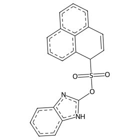 O=S(=O)(Oc1nc2ccccc2[nH]1)C1C=Cc2cccc3cccc1c23